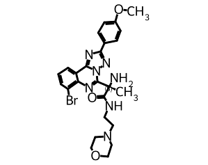 COc1ccc(-c2nc3c4cccc(Br)c4nc([C@](C)(N)C(=O)NCCN4CCOCC4)n3n2)cc1